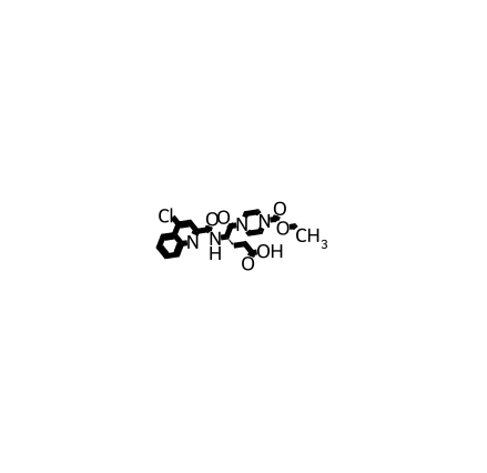 CCOC(=O)N1CCN(C(=O)[C@H](CCC(=O)O)NC(=O)c2cc(Cl)c3ccccc3n2)CC1